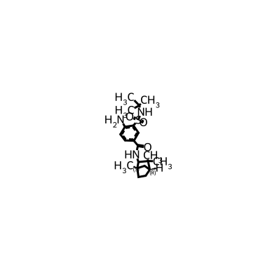 CC(C)(C)NS(=O)(=O)c1cc(C(=O)NC2C(C)(C)[C@@H]3CC[C@@]2(C)C3)ccc1N